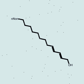 CCCCCCCCCCCCCCCCC/C=C/C=C/CO